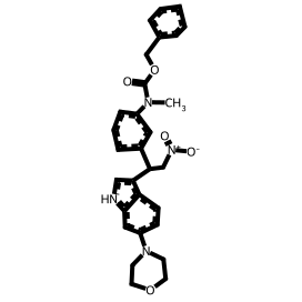 CN(C(=O)OCc1ccccc1)c1cccc(C(C[N+](=O)[O-])c2c[nH]c3cc(N4CCOCC4)ccc23)c1